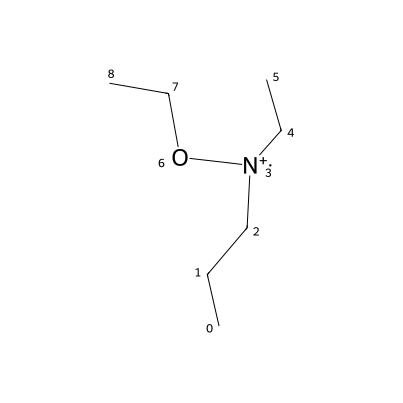 CCC[N+](CC)OCC